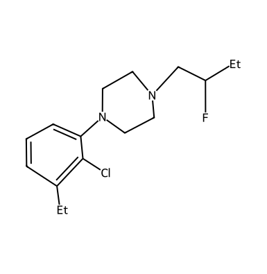 CCc1cccc(N2CCN(CC(F)CC)CC2)c1Cl